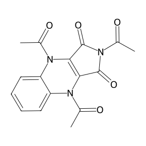 CC(=O)n1c(=O)c2n(C(C)=O)c3ccccc3n(C(C)=O)c=2c1=O